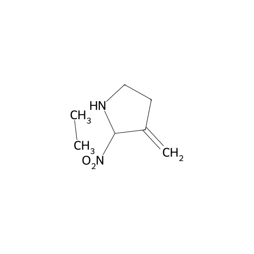 C=C1CCNC1[N+](=O)[O-].CC